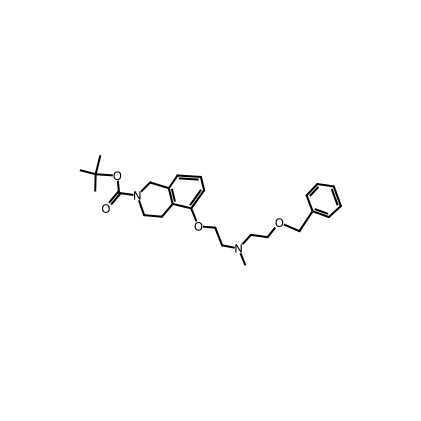 CN(CCOCc1ccccc1)CCOc1cccc2c1CCN(C(=O)OC(C)(C)C)C2